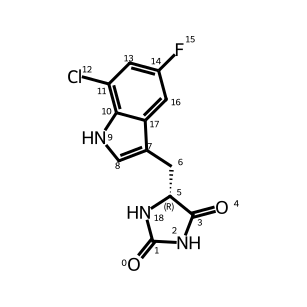 O=C1NC(=O)[C@@H](Cc2c[nH]c3c(Cl)cc(F)cc23)N1